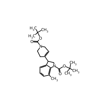 Cc1cccc2c1N(C(=O)OC(C)(C)C)CC2C1=CCN(C(=O)OC(C)(C)C)CC1